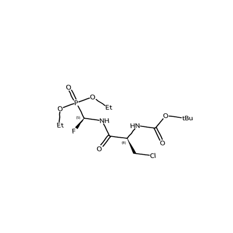 CCOP(=O)(OCC)[C@H](F)NC(=O)[C@H](CCl)NC(=O)OC(C)(C)C